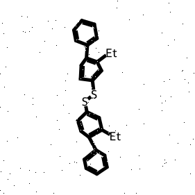 CCc1cc(SSc2ccc(-c3ccccc3)c(CC)c2)ccc1-c1ccccc1